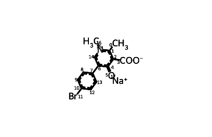 Cc1c(C(=O)[O-])c(=O)c(-c2ccc(Br)cc2)cn1C.[Na+]